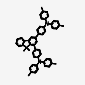 Cc1ccc(N(c2ccc(C)cc2)c2ccc(-c3cc(-c4ccc(N(c5ccc(C)cc5)c5ccc(C)cc5)cc4)c4c(c3)-c3ccccc3C4(C)C)cc2)cc1